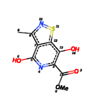 COC(=O)c1nc(O)c2c(C)nsc2c1O